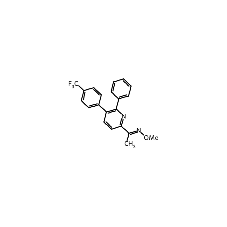 CON=C(C)c1ccc(-c2ccc(C(F)(F)F)cc2)c(-c2ccccc2)n1